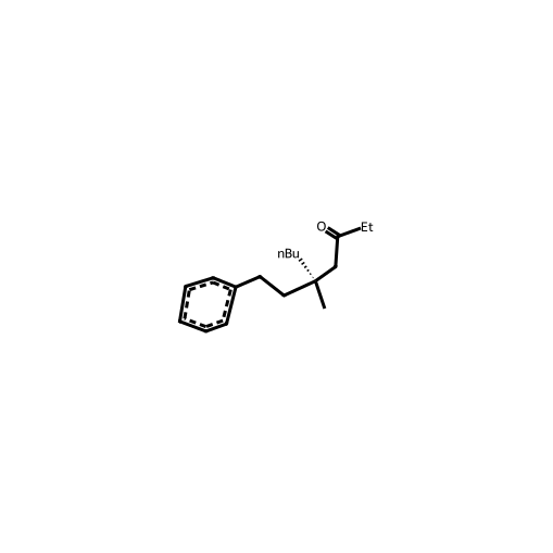 CCCC[C@](C)(CCc1ccccc1)CC(=O)CC